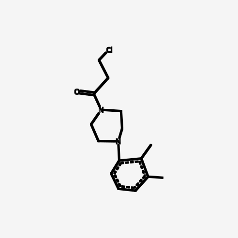 Cc1cccc(N2CCN(C(=O)CCCl)CC2)c1C